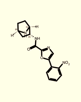 O=C(N[C@@H]1C[C@H]2CC[C@@H]1N2)c1ncc(-c2ccccc2[N+](=O)[O-])o1